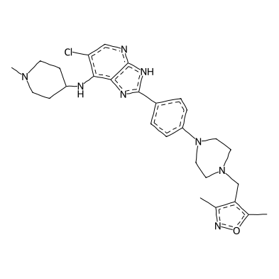 Cc1noc(C)c1CN1CCN(c2ccc(-c3nc4c(NC5CCN(C)CC5)c(Cl)cnc4[nH]3)cc2)CC1